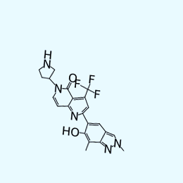 Cc1c(O)c(-c2cc(C(F)(F)F)c3c(=O)n(C4CCNC4)ccc3n2)cc2cn(C)nc12